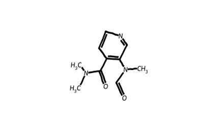 CN(C)C(=O)c1ccncc1N(C)C=O